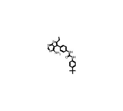 CCc1sc2ncnc(N)c2c1-c1ccc(NC(=O)Nc2ccc(C(C)(C)C)cc2)cc1